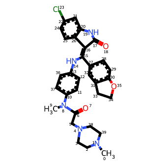 CN1CCN(CC(=O)N(C)c2ccc(NC(=C3C(=O)Nc4cc(Cl)ccc43)c3ccc4c(c3)CCO4)cc2)CC1